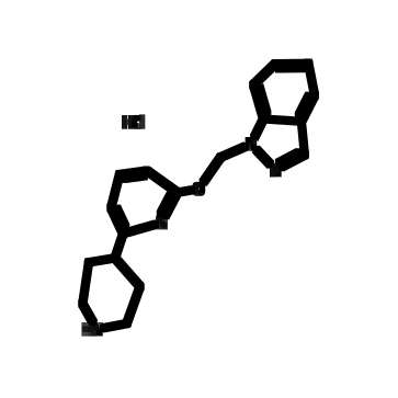 Cl.c1cc(OCn2ncc3ccccc32)nc(C2CCNCC2)c1